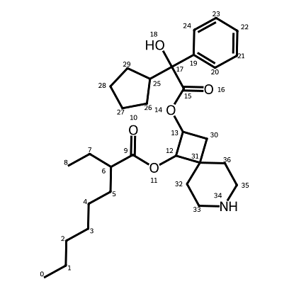 CCCCCCC(CC)C(=O)OC1C(OC(=O)C(O)(c2ccccc2)C2CCCC2)CC12CCNCC2